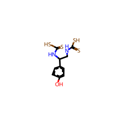 Oc1ccc(C(CNC(=S)S)NC(=S)S)cc1